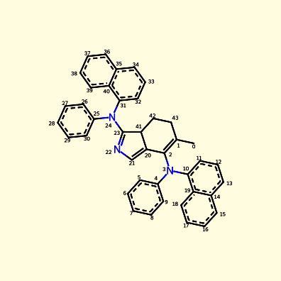 CC1=C(N(c2ccccc2)c2cccc3ccccc23)C2=CN=C(N(c3ccccc3)c3cccc4ccccc34)C2CC1